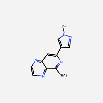 CCn1cc(-c2cc3nccnc3c(NC)n2)cn1